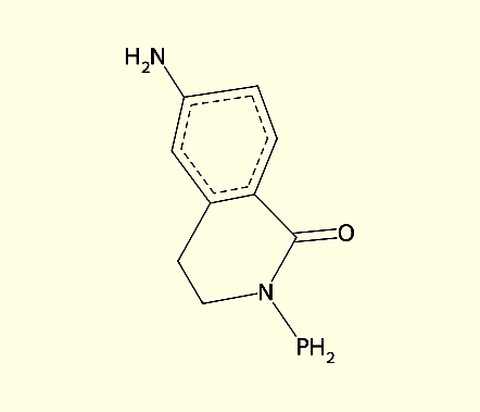 Nc1ccc2c(c1)CCN(P)C2=O